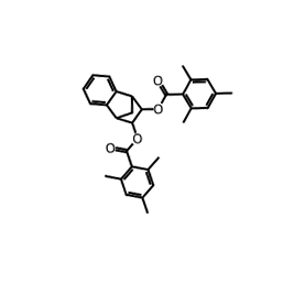 Cc1cc(C)c(C(=O)OC2C3CC(c4ccccc43)C2OC(=O)c2c(C)cc(C)cc2C)c(C)c1